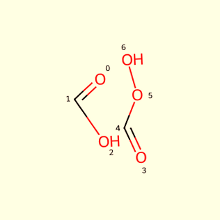 O=CO.O=COO